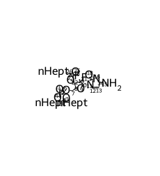 CCCCCCCOP(=O)(OCCCCCCC)OCC1O[C@@H](n2ccc(N)nc2=O)C(F)(F)[C@@H]1OC(=O)CCCCCCC